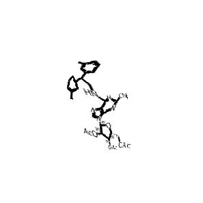 CC(=O)OC[C@H]1O[C@@H](n2cnc3c(NCC(c4cccc(C)c4)c4cccc(C)c4)nc(C#N)nc32)[C@H](OC(C)=O)[C@@H]1OC(C)=O